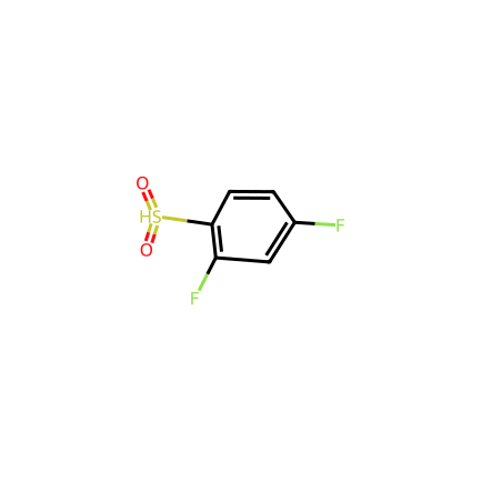 O=[SH](=O)c1ccc(F)cc1F